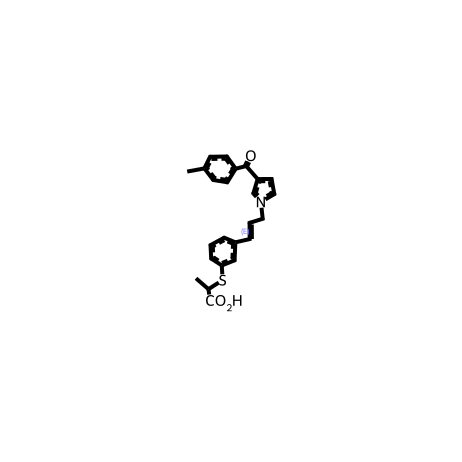 Cc1ccc(C(=O)c2ccn(C/C=C/c3cccc(SC(C)C(=O)O)c3)c2)cc1